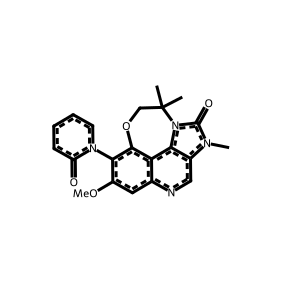 COc1cc2ncc3c4c2c(c1-n1ccccc1=O)OCC(C)(C)n4c(=O)n3C